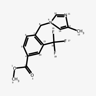 COC(=O)c1ccc(Cn2cnc(C)c2)c(C(F)(F)F)c1